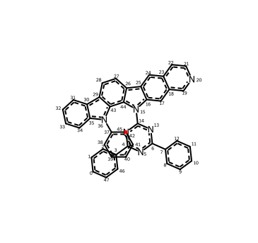 c1ccc(-c2nc(-c3ccccc3)nc(-n3c4cc5cnccc5cc4c4ccc5c6ccccc6n(-c6ccccc6)c5c43)n2)cc1